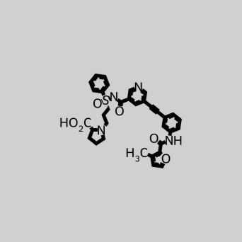 Cc1ccoc1C(=O)Nc1cccc(C#Cc2cncc(C(=O)N=[S@](=O)(CCCN3CCCC3C(=O)O)c3ccccc3)c2)c1